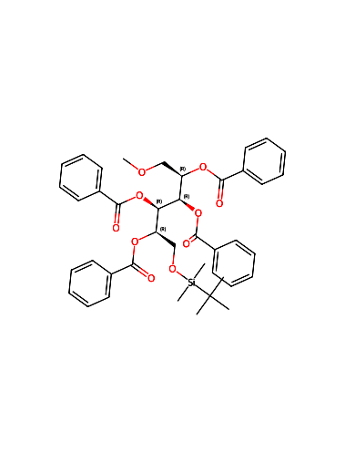 COC[C@@H](OC(=O)c1ccccc1)[C@@H](OC(=O)c1ccccc1)[C@H](OC(=O)c1ccccc1)[C@@H](CO[Si](C)(C)C(C)(C)C)OC(=O)c1ccccc1